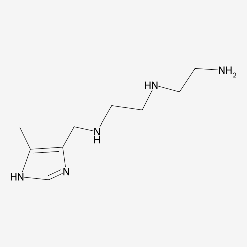 Cc1[nH]cnc1CNCCNCCN